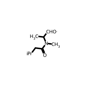 CC(C)CC(=O)N(C)C(C)[C]=O